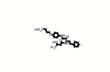 CC(O)CC(=O)NN(CCc1ccccc1)C(=O)CNc1ccc(OCCCC(=O)O)cc1